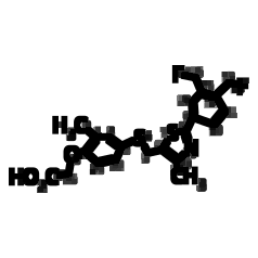 Cc1cc(SCc2sc(-c3ccc(CF)c(CF)c3)nc2C)ccc1OCC(=O)O